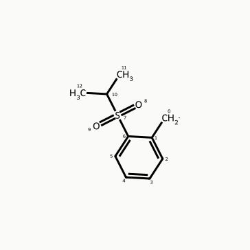 [CH2]c1ccccc1S(=O)(=O)C(C)C